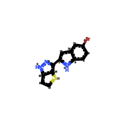 Brc1ccc2[nH]c(-c3n[nH]c4ccsc34)cc2c1